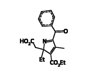 CCOC(=O)C1=C(C)C(C(=O)c2ccccc2)=NC1(CC)CC(=O)O